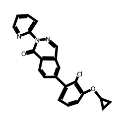 O=c1c2ccc(-c3cccc(OC4CC4)c3Cl)cc2cnn1-c1ccccn1